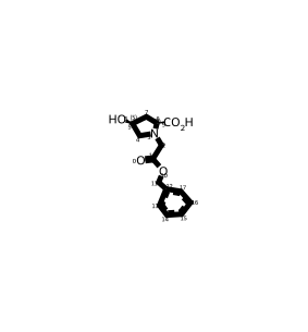 O=C(CN1C[C@@H](O)C[C@@H]1C(=O)O)OCc1ccccc1